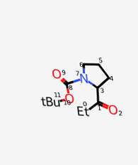 CCC(=O)C1CCCN1C(=O)OC(C)(C)C